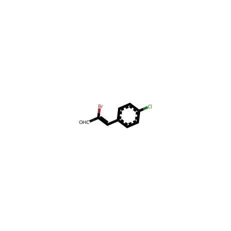 O=CC(Br)=Cc1ccc(Cl)cc1